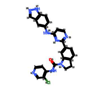 O=C(Nc1ccncc1Cl)N1CCc2ccc(-c3nccc(Nc4ccc5[nH]ncc5c4)n3)cc21